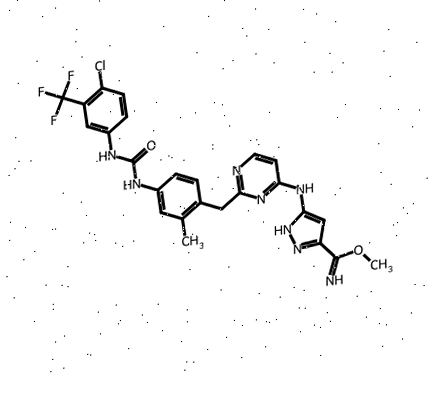 COC(=N)c1cc(Nc2ccnc(Cc3ccc(NC(=O)Nc4ccc(Cl)c(C(F)(F)F)c4)cc3C)n2)[nH]n1